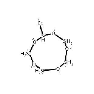 CC[SiH]1O[SiH2]O[SiH2]O[SiH2]O[SiH2]O1